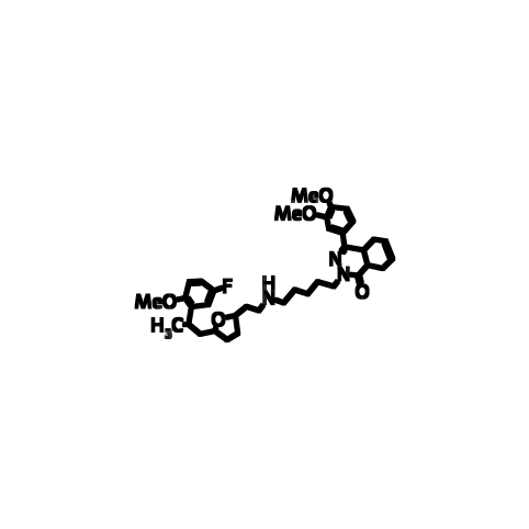 COc1ccc(C2=NN(CCCCCNCCC3CCC(CC(C)c4cc(F)ccc4OC)O3)C(=O)C3CC=CCC23)cc1OC